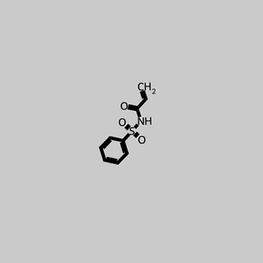 C=CC(=O)NS(=O)(=O)c1ccccc1